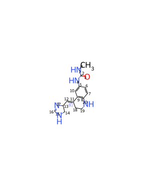 CNC(=O)Nc1ccc2c(c1)/C(=C/C1CNC=N1)CCN2